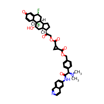 CN(C)C(C(=O)Nc1ccc2cnccc2c1)c1ccc(COC(=O)C2CC2C(=O)OCC(=O)[C@H]2CCC3[C@@H]4C[C@H](F)C5=CC(=O)C=C[C@]5(C)[C@@]4(F)[C@@H](O)C[C@@]32C)cc1